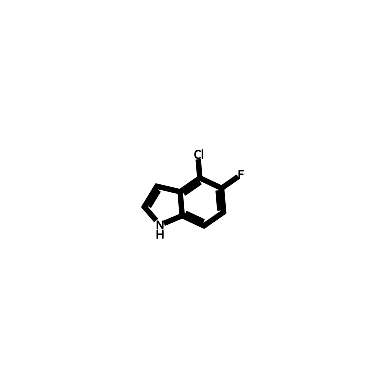 Fc1ccc2[nH]ccc2c1Cl